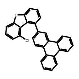 Clc1cccc2oc3cccc(-c4ccc5c6ccccc6c6ccccc6c5c4)c3c12